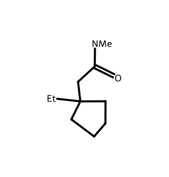 CCC1(CC(=O)NC)CCCC1